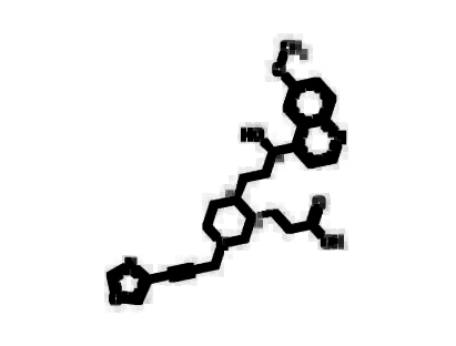 COc1ccc2nccc([C@H](O)CC[C@@H]3CCN(CC#Cc4cocn4)C[C@H]3CCC(=O)O)c2c1